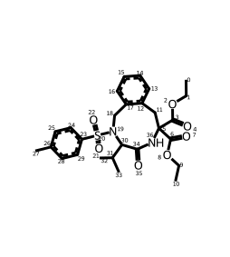 CCOC(=O)C1(C(=O)OCC)Cc2ccccc2CN(S(=O)(=O)c2ccc(C)cc2)C(C(C)C)C(=O)N1